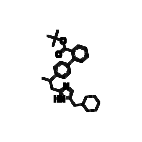 CC(Cc1ncc(CC2CCCCC2)[nH]1)c1ccc(-c2ccccc2C(=O)OC(C)(C)C)cc1